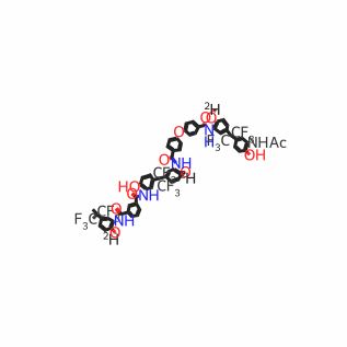 [2H]Oc1ccc(C(C)(C(F)(F)F)C(F)(F)F)cc1NC(=O)c1cccc(C(=O)Nc2cc(C(c3ccc(O[2H])c(NC(=O)c4ccc(Oc5ccc(C(=O)Nc6cc(C(c7ccc(O)c(NC(C)=O)c7)(C(F)(F)F)C(F)(F)F)ccc6O[2H])cc5)cc4)c3)(C(F)(F)F)C(F)(F)F)ccc2O)c1